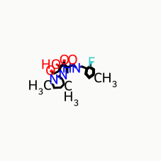 Cc1ccc(CNC(=O)c2cn3c(c(O)c2=O)C(=O)N2CC3C(C)CCC2C)c(F)c1